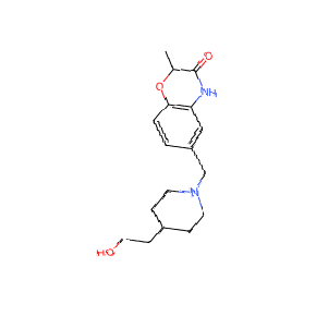 CC1Oc2ccc(CN3CCC(CCO)CC3)cc2NC1=O